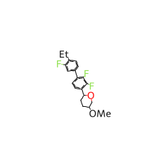 CCc1ccc(-c2ccc(C3CCC(OC)CO3)c(F)c2F)cc1F